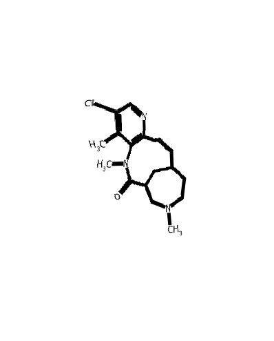 Cc1c(Cl)cnc2c1N(C)C(=O)C1CC(CC2)CCN(C)C1